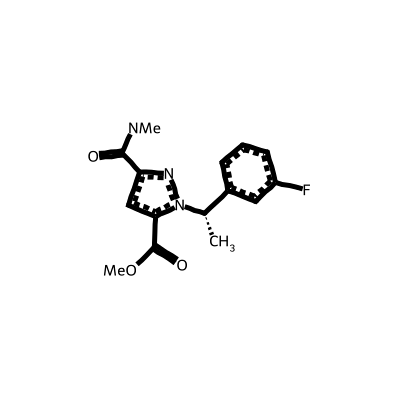 CNC(=O)c1cc(C(=O)OC)n([C@@H](C)c2cccc(F)c2)n1